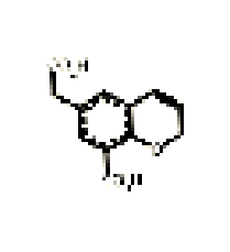 O=C(O)Cc1cc2c(c(S(=O)(=O)O)c1)OCC=C2